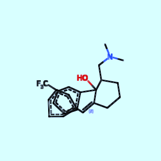 CN(C)CC1CCC/C(=C/c2ccccc2)C1(O)c1cccc(C(F)(F)F)c1